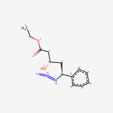 CCOC(=O)C[C@@H](O)C[C@H](N=[N+]=[N-])c1ccccc1